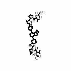 COC(=O)N[C@H](C(=O)N1C2CC2C[C@H]1c1nc2ccc(-c3ccc(-c4ccc(-c5cnc(C6CCCN6C(=O)[C@@H](NC(=O)CO)C(C)C)[nH]5)cc4)c4c3CC3CCC43)cc2[nH]1)C(C)C